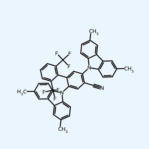 Cc1ccc2c(c1)c1cc(C)ccc1n2-c1cc(-c2c(C(F)(F)F)cccc2C(F)(F)F)c(-n2c3ccc(C)cc3c3cc(C)ccc32)cc1C#N